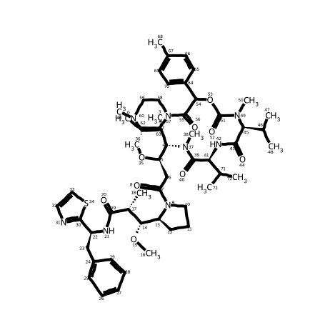 CC[C@H](C)[C@@H]([C@@H](CC(=O)N1CCC[C@H]1[C@H](OC)[C@@H](C)C(=O)N[C@@H](Cc1ccccc1)c1nccs1)OC)N(C)C(=O)[C@@H](NC(=O)[C@H](C(C)C)N(C)C(=O)OC(C(=O)N1CCN(C)CC1)c1ccc(C)cc1)C(C)C